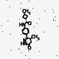 CC1CC(=O)NN=C1c1ccc(NC(=O)[C@H]2C[C@H](C)C2)cc1